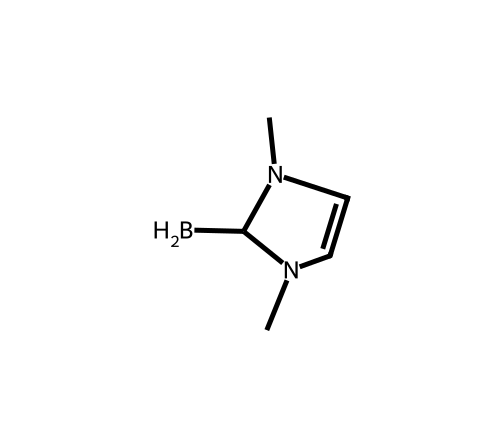 BC1N(C)C=CN1C